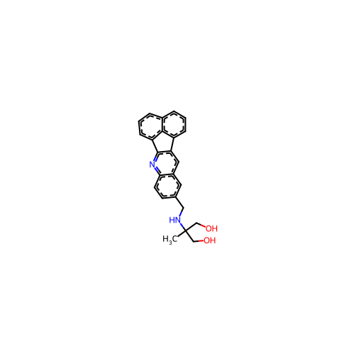 CC(CO)(CO)NCc1ccc2nc3c(cc2c1)-c1cccc2cccc-3c12